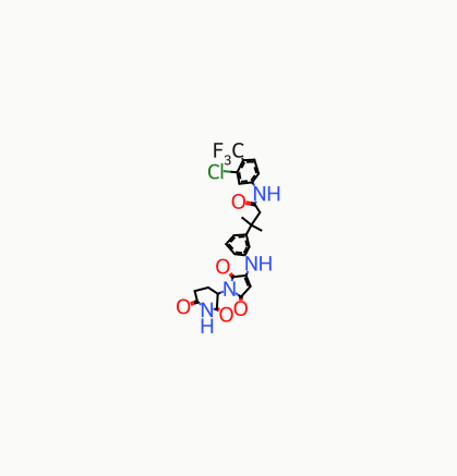 CC(C)(CC(=O)Nc1ccc(C(F)(F)F)c(Cl)c1)c1cccc(NC2=CC(=O)N(C3CCC(=O)NC3=O)C2=O)c1